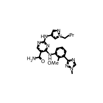 COc1c(Nc2nc(Nc3cnn(CC(C)C)c3)ncc2C(N)=O)cccc1-c1ncn(C)n1